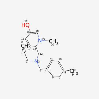 C#CCN(Cc1ccc(C(F)(F)F)cc1)CC1C=CC(O)=CN1C